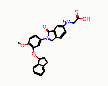 COc1ccc(N2Cc3ccc(NCC(=O)O)cc3C2=O)cc1OC1CCc2ccccc21